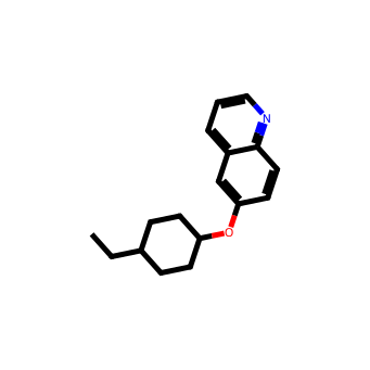 CCC1CCC(Oc2ccc3ncccc3c2)CC1